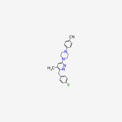 Cc1cc(N2CCN(c3ccc(C#N)cc3)CC2)nnc1Cc1ccc(F)cc1